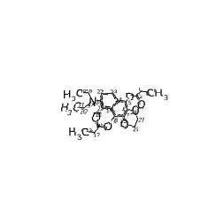 CCC(=O)Oc1c2c(c(OC(=O)CC)c3cc(N(CC)CC)ccc13)OCCO2